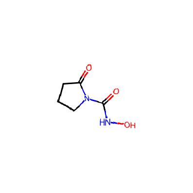 O=C1CCCN1C(=O)NO